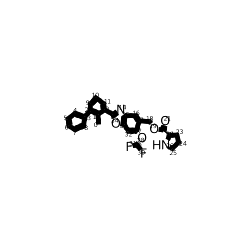 Cc1c(-c2ccccc2)cccc1-c1nc2cc(COC(=O)[C@H]3CCCN3)c(OC(F)F)cc2o1